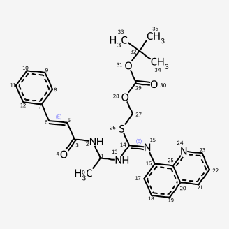 CC(NC(=O)/C=C/c1ccccc1)N/C(=N\c1cccc2cccnc12)SCOC(=O)OC(C)(C)C